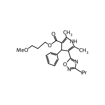 COCCCOC(=O)C1=C(C)NC(C)=C(c2nc(C(C)C)no2)C1c1ccccc1